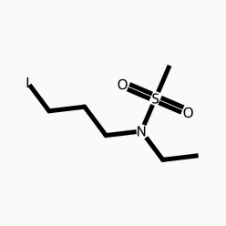 CCN(CCCI)S(C)(=O)=O